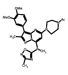 COc1ccc(-c2c(C)nn3c(N(C)c4nc(C)no4)cc(N4CCN(C(C)=O)CC4)nc23)cc1OC